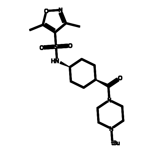 Cc1noc(C)c1S(=O)(=O)N[C@H]1CC[C@H](C(=O)N2CCN(C(C)(C)C)CC2)CC1